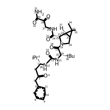 CC(C)[C@@H](CC(=O)Cc1ccccc1)NC(=O)N[C@H](C(=O)N1CC2[C@@H]([C@H]1C(=O)NCC(=O)C(N)=O)C2(C)C)C(C)(C)C